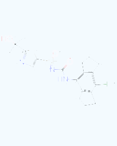 CC(C)(O)c1ncc([SH](=O)=NC(=O)Nc2c3c(c(F)c4c2CCC4)CCC3)s1